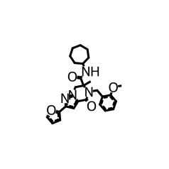 COc1ccccc1CN1C(=O)c2cc(-c3ccco3)nn2CC1(C)C(=O)NC1CCCCCC1